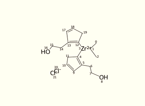 C[C](C)=[Zr+2]([C]1=C(CCO)C=CC1)[C]1=C(CCO)C=CC1.[Cl-].[Cl-]